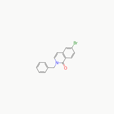 O=c1c2ccc(Br)cc2ccn1Cc1ccccc1